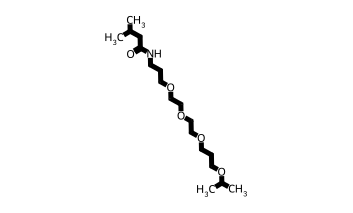 CC(C)CC(=O)NCCCOCCOCCOCCCOC(C)C